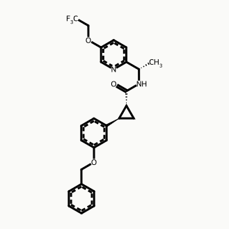 C[C@H](NC(=O)[C@@H]1C[C@H]1c1cccc(OCc2ccccc2)c1)c1ccc(OCC(F)(F)F)cn1